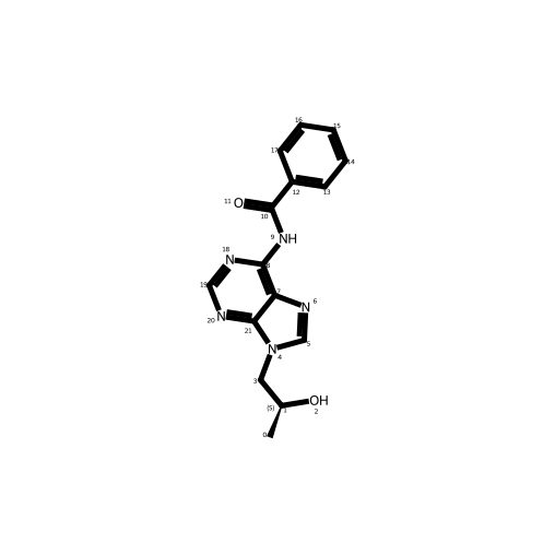 C[C@H](O)Cn1cnc2c(NC(=O)c3ccccc3)ncnc21